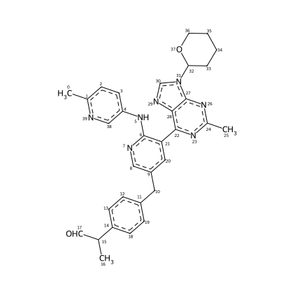 Cc1ccc(Nc2ncc(Cc3ccc(C(C)C=O)cc3)cc2-c2nc(C)nc3c2ncn3C2CCCCO2)cn1